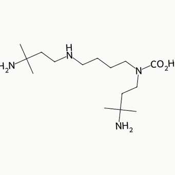 CC(C)(N)CCNCCCCN(CCC(C)(C)N)C(=O)O